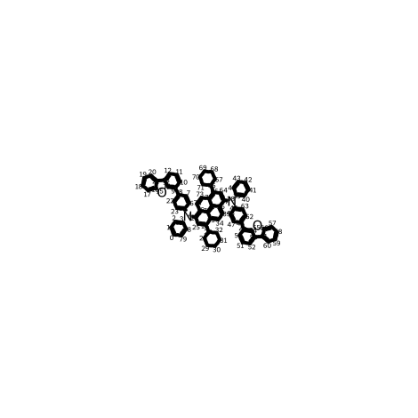 c1ccc(N(c2ccc(-c3cccc4c3oc3ccccc34)cc2)c2cc(C3CCCCC3)c3ccc4c(N(c5ccccc5)c5ccc(-c6cccc7c6oc6ccccc67)cc5)cc(C5CCCCC5)c5ccc2c3c54)cc1